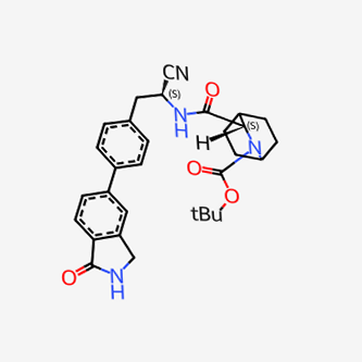 CC(C)(C)OC(=O)N1C2CCC(CC2)[C@H]1C(=O)N[C@H](C#N)Cc1ccc(-c2ccc3c(c2)CNC3=O)cc1